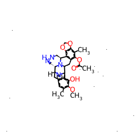 COc1c(C)cc2c(c1O)C1C3Cc4c(OC(C)=O)c(C)c5c(c4[C@H](CN)N3[C@@H](C#N)[C@@H](C2)N1C)OCO5